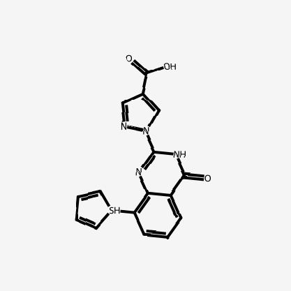 O=C(O)c1cnn(-c2nc3c([SH]4C=CC=C4)cccc3c(=O)[nH]2)c1